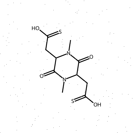 CN1C(=O)C(CC(O)=S)N(C)C(=O)C1CC(O)=S